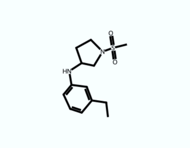 CCc1cccc(NC2CCN(S(C)(=O)=O)C2)c1